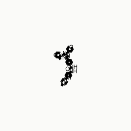 CC1COCCN1c1nc(-c2ccc(NC(=O)Nc3ccc(N4CCN(C)CC4)nc3)cc2)nc(C2CCOCC2)n1